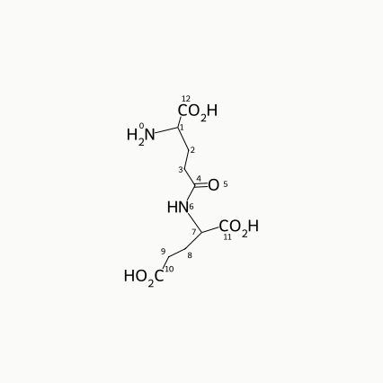 NC(CCC(=O)NC(CCC(=O)O)C(=O)O)C(=O)O